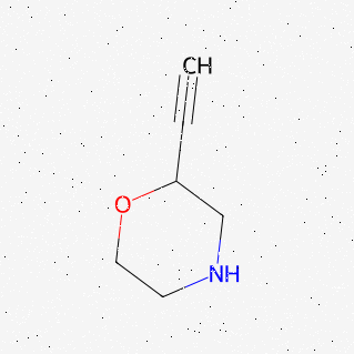 C#CC1CNCCO1